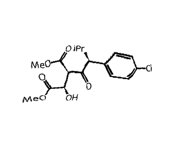 COC(=O)[C@@H](C(=O)[C@H](c1ccc(Cl)cc1)C(C)C)[C@@H](O)C(=O)OC